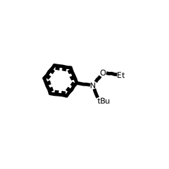 CCON(c1ccccc1)C(C)(C)C